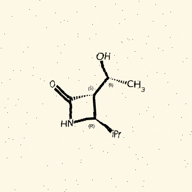 CC(C)[C@H]1NC(=O)[C@@H]1[C@@H](C)O